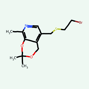 Cc1ncc(CSCCBr)c2c1OC(C)(C)OC2